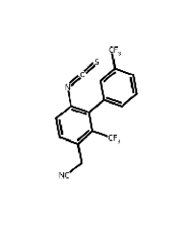 N#CCc1ccc(N=C=S)c(-c2cccc(C(F)(F)F)c2)c1C(F)(F)F